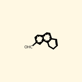 O=Cc1ccc2ccc3c(c2c1)CCC=C3